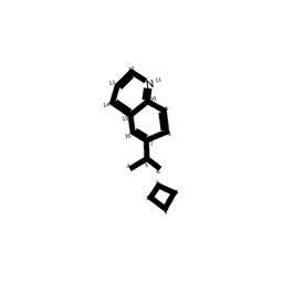 C1CCC1.CC(C)c1ccc2ncccc2c1